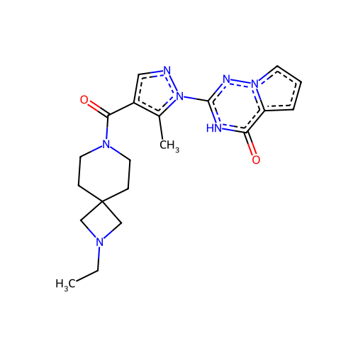 CCN1CC2(CCN(C(=O)c3cnn(-c4nn5cccc5c(=O)[nH]4)c3C)CC2)C1